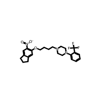 O=[N+]([O-])c1cc2c(cc1OCCCCN1CCN(c3ccccc3C(F)(F)F)CC1)CCC2